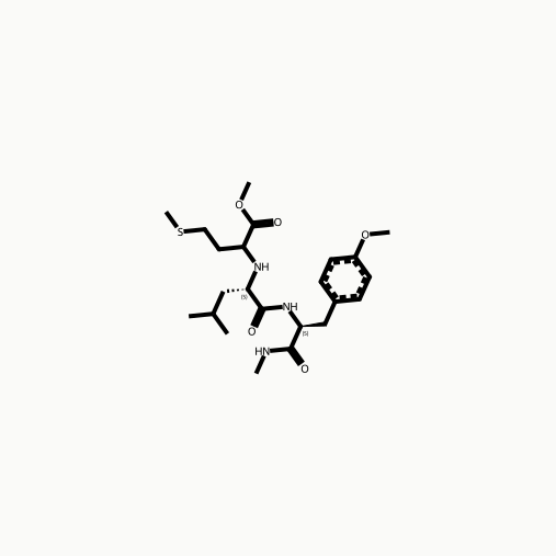 CNC(=O)[C@H](Cc1ccc(OC)cc1)NC(=O)[C@H](CC(C)C)NC(CCSC)C(=O)OC